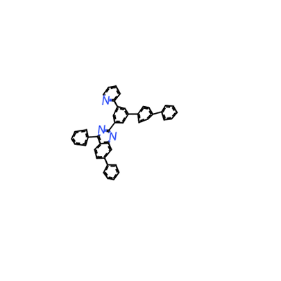 c1ccc(-c2ccc(-c3cc(-c4ccccn4)cc(-c4nc(-c5ccccc5)c5ccc(-c6ccccc6)cc5n4)c3)cc2)cc1